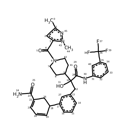 Cc1cc(C(=O)N2CCC(C(O)(Cc3cccc(C4C=CC=C(C(N)=O)C4)c3)C(=O)Nc3cccc(C(F)(F)F)c3)CC2)n(C)n1